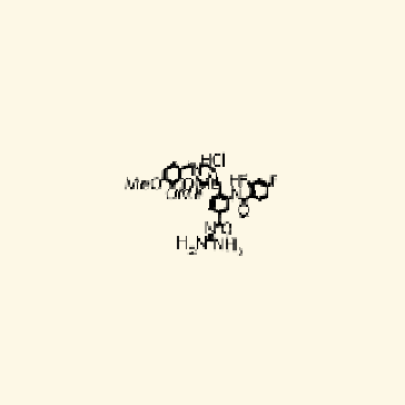 COc1ccc(CN2CCN(Cc3ccc(C(=O)N=C(N)N)cc3NC(=O)c3ccc(F)cc3F)CC2)c(OC)c1OC.Cl